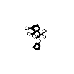 COC(=O)C(=C(C)Nc1ccccc1)c1cccc(Cl)c1C(=O)O